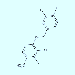 Cc1c(C(=O)O)ccc(OCc2ccc(F)c(F)c2)c1Cl